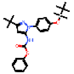 CC(C)(C)c1cc(NC(=O)Oc2ccccc2)n(-c2ccc(O[Si](C)(C)C(C)(C)C)cc2)n1